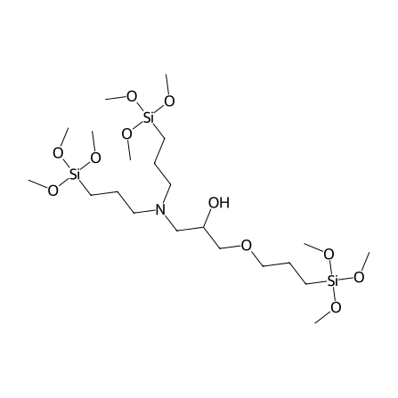 CO[Si](CCCOCC(O)CN(CCC[Si](OC)(OC)OC)CCC[Si](OC)(OC)OC)(OC)OC